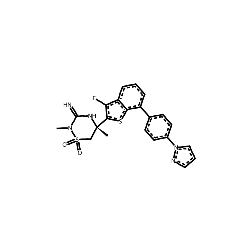 CN1C(=N)N[C@](C)(c2sc3c(-c4ccc(-n5cccn5)cc4)cccc3c2F)CS1(=O)=O